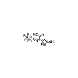 Nc1nc(/C(=N/OCC(F)(F)C(F)(F)F)C(=O)O)ns1